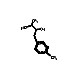 CC(O)C(O)Cc1ccc(C(F)(F)F)cc1